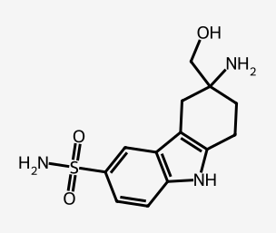 NC1(CO)CCc2[nH]c3ccc(S(N)(=O)=O)cc3c2C1